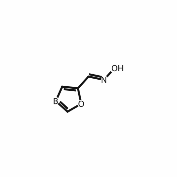 ON=Cc1cbco1